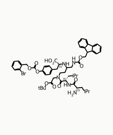 CC(C)C[C@H](NC(=O)[C@@H](N)CC(C)C)C(=O)N(CCC(CNC(=O)OCC1c2ccccc2-c2ccccc21)N[C@@H](Cc1ccc(OC(=O)OCc2ccccc2Br)cc1)C(=O)O)CC(=O)OC(C)(C)C